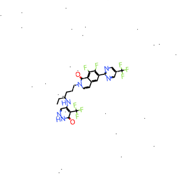 CC[C@@H](CCCn1ccc2cc(-c3ncc(C(F)(F)F)cn3)c(F)c(F)c2c1=O)Nc1cn[nH]c(=O)c1C(F)(F)F